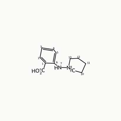 O=C(O)c1ccccc1NN1CCCCC1